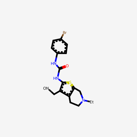 CCN1CCc2c(sc(NC(=O)Nc3ccc(Br)cc3)c2CN=O)C1